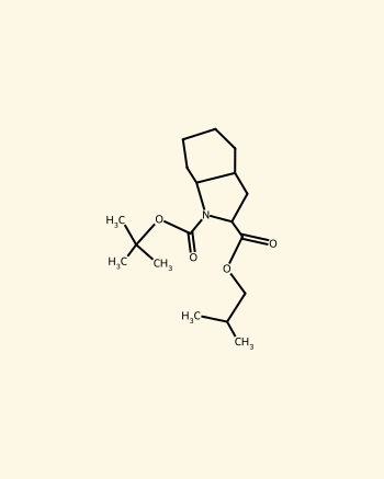 CC(C)COC(=O)C1CC2CCCCC2N1C(=O)OC(C)(C)C